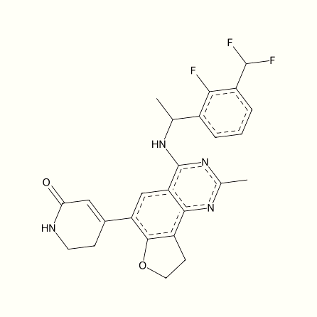 Cc1nc(NC(C)c2cccc(C(F)F)c2F)c2cc(C3=CC(=O)NCC3)c3c(c2n1)CCO3